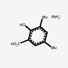 CC(C)(C)c1cc(C(=O)O)c(O)c(C(C)(C)C)c1.[PbH2]